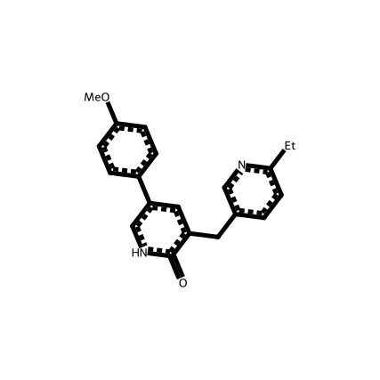 CCc1ccc(Cc2cc(-c3ccc(OC)cc3)c[nH]c2=O)cn1